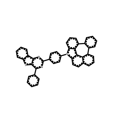 c1ccc(-c2nc(-c3ccc(-n4c5cccc6c5c5c7c(cccc7ccc54)-c4ccccc4-6)cc3)nc3c2sc2ccccc23)cc1